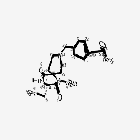 CCCCN1C(=O)[C@H](CC(C)C)NC(=O)C12CCN(Cc1ccc(C(N)=O)cc1)CC2